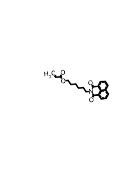 C=CC(=O)OCCCCCCN1C(=O)c2cccc3cccc(c23)C1=O